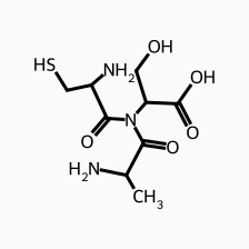 CC(N)C(=O)N(C(=O)C(N)CS)C(CO)C(=O)O